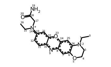 CCN1CCOc2cc3nc4cc/c(=[N+](\CC)CC(N)=O)cc-4oc3cc21